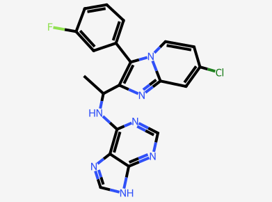 CC(Nc1ncnc2[nH]cnc12)c1nc2cc(Cl)ccn2c1-c1cccc(F)c1